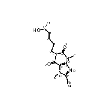 C[C@@H](O)CCCCn1c(=O)c2c(nc(Br)n2C)n(C)c1=O